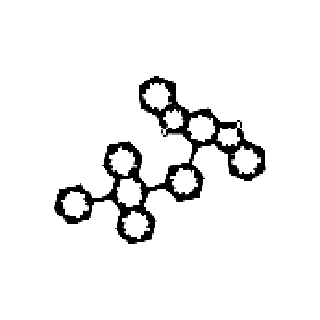 c1ccc(-c2c3ccccc3c(-c3cccc(-c4c5oc6ccccc6c5cc5oc6ccccc6c45)c3)c3ccccc23)cc1